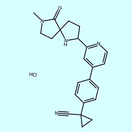 CN1CCC2(CCC(c3cc(-c4ccc(C5(C#N)CC5)cc4)ccn3)N2)C1=O.Cl